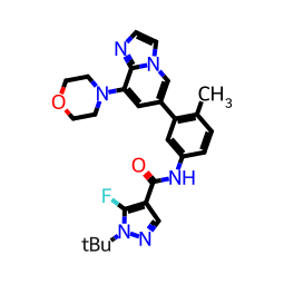 Cc1ccc(NC(=O)c2cnn(C(C)(C)C)c2F)cc1-c1cc(N2CCOCC2)c2nccn2c1